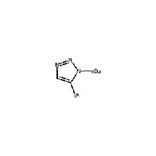 CCCCn1nncc1C(C)C